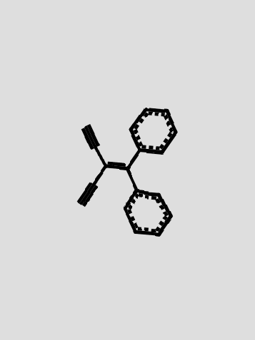 C#CC(C#C)=C(c1ccccc1)c1ccccc1